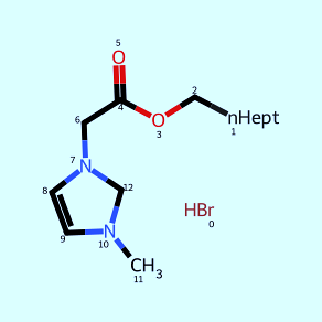 Br.CCCCCCCCOC(=O)CN1C=CN(C)C1